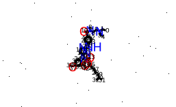 CCN(CC)CCN(C)C(=O)c1ccc(Nc2nccc(N(C(=O)OCCCCCC(C)C)c3ccc(OC)cc3OC)n2)cc1